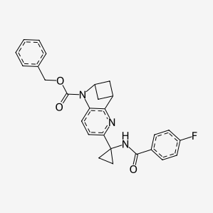 O=C(NC1(c2ccc3c(n2)C2CC(C2)N3C(=O)OCc2ccccc2)CC1)c1ccc(F)cc1